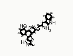 Cc1n[nH]c2cc(-c3cc(OC[C@H](N)Cc4c[nH]c5ccccc45)cnc3-c3ccccc3O)sc12